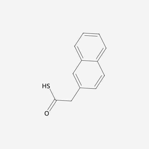 O=C(S)Cc1ccc2ccccc2c1